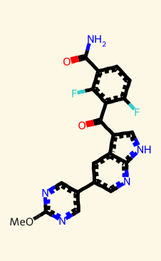 COc1ncc(-c2cnc3[nH]cc(C(=O)c4c(F)ccc(C(N)=O)c4F)c3c2)cn1